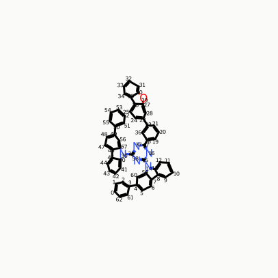 c1ccc(-c2ccc3c4ccccc4n(-c4nc(-c5cccc(-c6ccc7c(c6)oc6ccccc67)c5)nc(-n5c6ccccc6c6ccc(-c7ccccc7)cc65)n4)c3c2)cc1